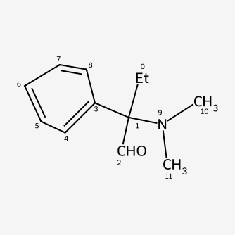 CCC(C=O)(c1ccccc1)N(C)C